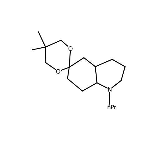 CCCN1CCCC2CC3(CCC21)OCC(C)(C)CO3